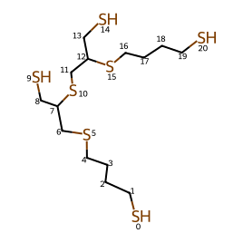 SCCCCSCC(CS)SCC(CS)SCCCCS